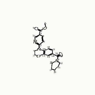 COC(=O)c1ccc(N2CCOc3cc(C(=O)N4CCCCC4)ccc32)nc1